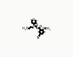 CCCCn1c2c(s/c1=N\C(=O)c1cc(C#N)ccc1OC)COCC2